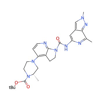 Cc1nc(NC(=O)N2CCc3c(N4CCN(C(=O)OC(C)(C)C)[C@@H](C)C4)ccnc32)cc2cn(C)nc12